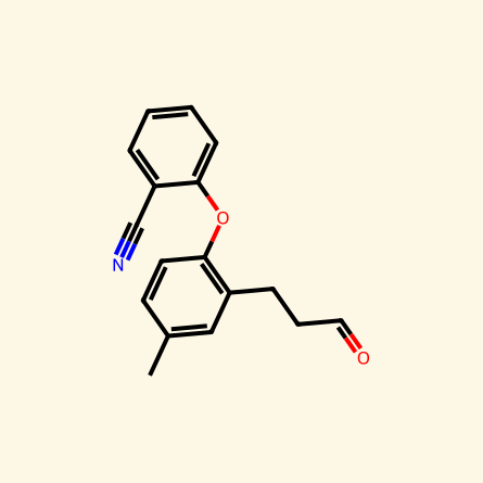 Cc1ccc(Oc2ccccc2C#N)c(CCC=O)c1